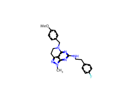 COc1ccc(CN2CCc3nn(C)c4nc(NCCc5ccc(F)cc5)nc2c34)cc1